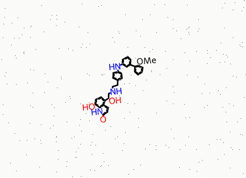 COc1ccccc1-c1cccc(Nc2ccc(CCNC[C@H](O)c3ccc(O)c4[nH]c(=O)ccc34)cc2)c1